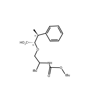 CCC(C)C(CO[C@H](C(=O)O)[C@@H](C)c1ccccc1)NC(=O)OC(C)(C)C